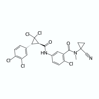 CN(C(=O)c1cc(NC(=O)[C@H]2[C@H](c3ccc(Cl)c(Cl)c3)C2(Cl)Cl)ccc1Cl)C1(C#N)CC1